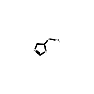 COC1CN=[C]O1